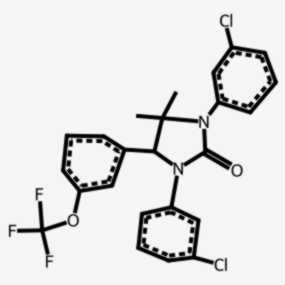 CC1(C)C(c2cccc(OC(F)(F)F)c2)N(c2cccc(Cl)c2)C(=O)N1c1cccc(Cl)c1